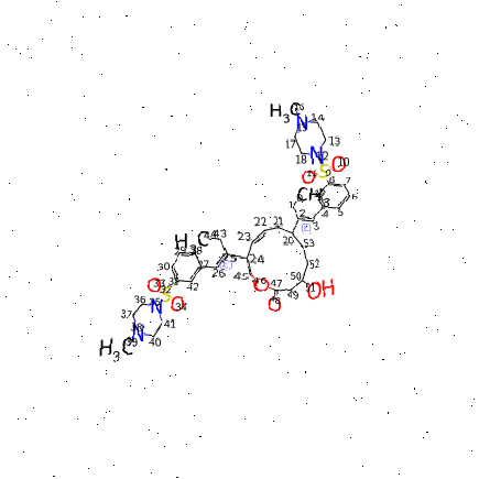 CC/C(=C\c1cccc(S(=O)(=O)N2CCN(C)CC2)c1)C1[CH]C=CC(/C(=C/c2cccc(S(=O)(=O)N3CCN(C)CC3)c2)CC)COC(=O)CC(O)CC1